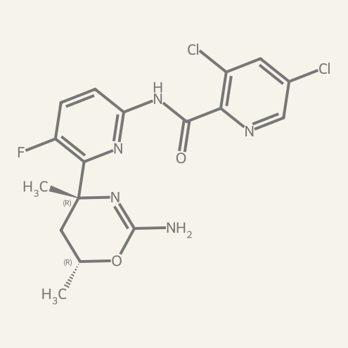 C[C@@H]1C[C@](C)(c2nc(NC(=O)c3ncc(Cl)cc3Cl)ccc2F)N=C(N)O1